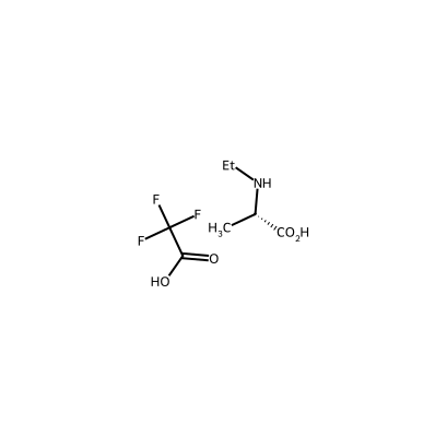 CCN[C@@H](C)C(=O)O.O=C(O)C(F)(F)F